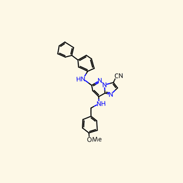 COc1ccc(CNc2cc(Nc3cccc(-c4ccccc4)c3)nn3c(C#N)cnc23)cc1